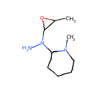 CC1OC1N(N)C1CCCCN1C